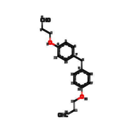 O=CCCOc1ccc(Cc2ccc(OCCC=O)cc2)cc1